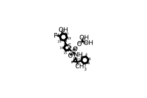 C[C@]1(c2ccccc2)C[C@@H]1NS(=O)(=O)c1ccc(-c2ccc(O)c(F)c2)s1.O=C(O)O